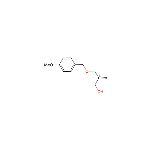 COc1ccc(COC[C@@H](C)CO)cc1